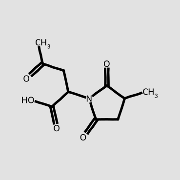 CC(=O)CC(C(=O)O)N1C(=O)CC(C)C1=O